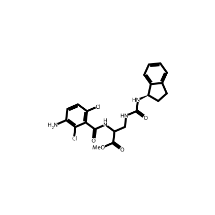 COC(=O)C(CNC(=O)N[C@@H]1CCc2ccccc21)NC(=O)c1c(Cl)ccc(N)c1Cl